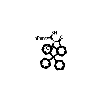 CCCCCC(S)N1C(=O)c2cccc(C(c3ccccc3)(c3ccccc3)c3ccccc3)c2C1=O